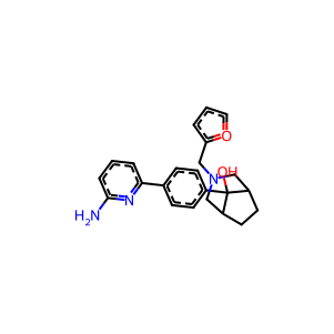 Nc1cccc(-c2ccc(C3(O)C4CCC3CN(Cc3ccco3)C4)cc2)n1